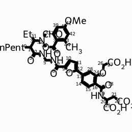 CCCCCC(C(=O)NCNC(=O)c1ccc(-c2ccc(C(=O)NC(CC(=O)O)C(=O)O)c(OCC(=O)O)c2)o1)C(CC)N(C=O)OC(=O)c1ccc(OC)cc1C